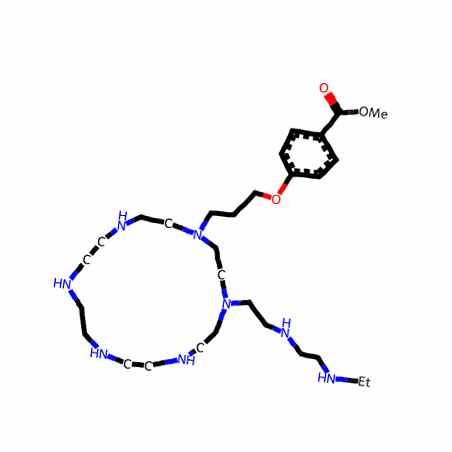 CCNCCNCCN1CCNCCNCCNCCNCCN(CCCOc2ccc(C(=O)OC)cc2)CC1